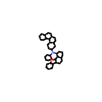 c1ccc(N(c2ccc3c(ccc4ccc5ccccc5c43)c2)c2cccc3ccc4c5ccccc5oc4c23)cc1